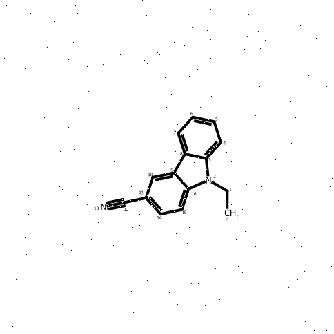 CCn1c2ccccc2c2cc(C#N)ccc21